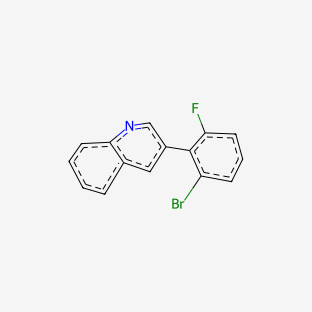 Fc1cccc(Br)c1-c1cnc2ccccc2c1